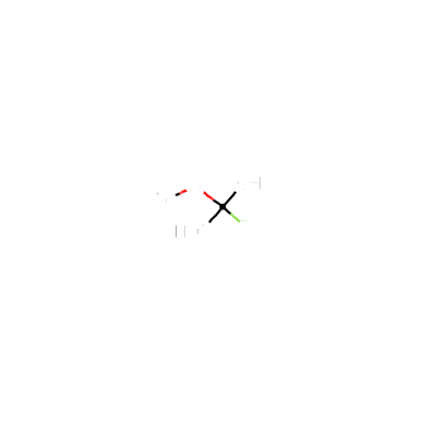 CC(=O)OC(C)(C)F